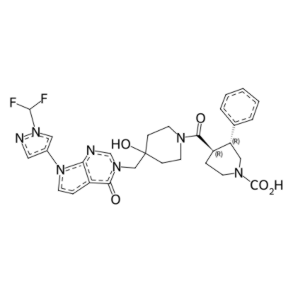 O=C(O)N1CC[C@@H](C(=O)N2CCC(O)(Cn3cnc4c(ccn4-c4cnn(C(F)F)c4)c3=O)CC2)[C@H](c2ccccc2)C1